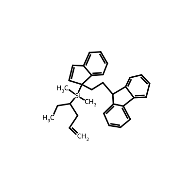 C=CCC(CC)[Si](C)(C)C1(CCC2c3ccccc3-c3ccccc32)C=Cc2ccccc21